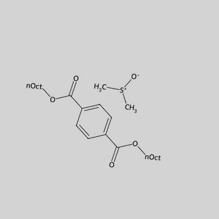 CCCCCCCCOC(=O)c1ccc(C(=O)OCCCCCCCC)cc1.C[S+](C)[O-]